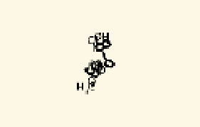 CCOc1ccc(S(=O)(=O)Nc2ccccc2C#Cc2cnc(C(=O)O)c3ccccc23)c2ncccc12